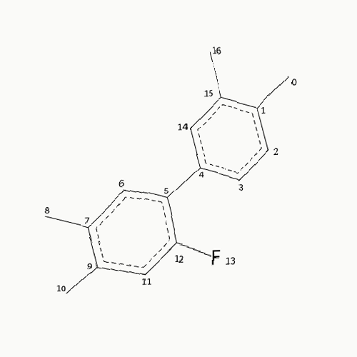 Cc1ccc(-c2cc(C)c(C)cc2F)cc1C